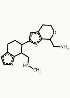 CNCC1c2sccc2CCC1c1cc2c(s1)C(CN)OCC2